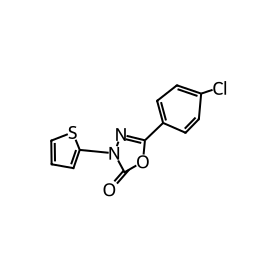 O=c1oc(-c2ccc(Cl)cc2)nn1-c1cccs1